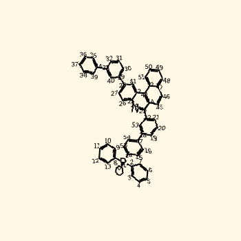 O=P(c1ccccc1)(c1ccccc1)c1ccc(-c2cccc(-c3nc4ccc(-c5cccc(-c6ccccc6)c5)cc4c4c3ccc3ccccc34)c2)cc1